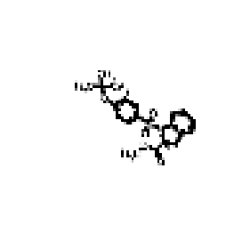 COC(=O)[C@@H]1Cc2ccccc2N1S(=O)(=O)c1ccc(OC(C)(C)C)cc1